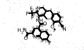 COc1cc(CC2CN=C(C(F)(F)F)C(NC(=O)c3cc(C(N)=O)nc4cc(F)ccc34)=C2C)ccc1C#N